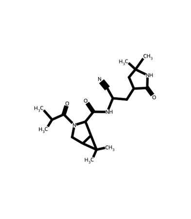 CC(C)C(=O)N1CC2C(C1C(=O)NC(C#N)CC1CC(C)(C)NC1=O)C2(C)C